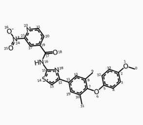 COc1ccc(Oc2c(C)cc(-c3csc(NC(=O)c4ccnc([N+](=O)[O-])c4)n3)cc2C)cc1